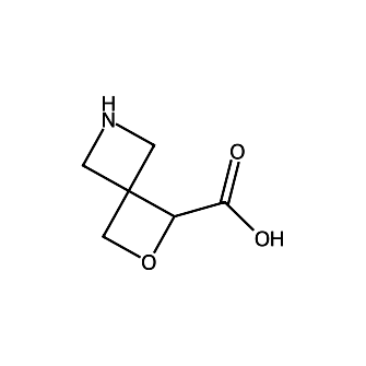 O=C(O)C1OCC12CNC2